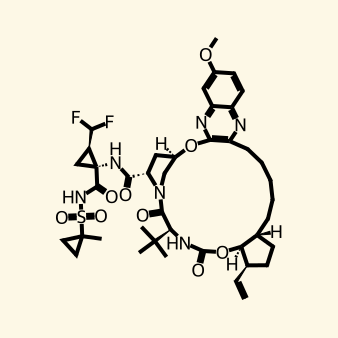 C=C[C@@H]1CC[C@H]2CCCCCc3nc4ccc(OC)cc4nc3O[C@@H]3C[C@@H](C(=O)N[C@]4(C(=O)NS(=O)(=O)C5(C)CC5)C[C@H]4C(F)F)N(C3)C(=O)[C@H](C(C)(C)C)NC(=O)O[C@@H]21